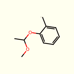 [CH2]c1ccccc1OC(C)OC